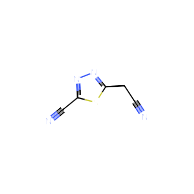 N#CCc1nnc(C#N)s1